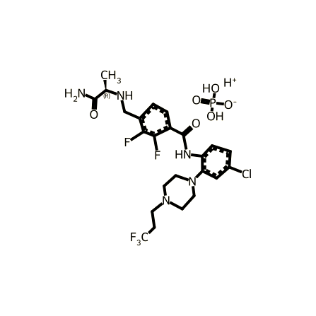 C[C@@H](NCc1ccc(C(=O)Nc2ccc(Cl)cc2N2CCN(CCC(F)(F)F)CC2)c(F)c1F)C(N)=O.O=P([O-])(O)O.[H+]